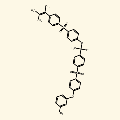 CCC(C)(Oc1ccc(S(=O)(=O)c2ccc(C(C)=C(C)C)cc2)cc1)c1ccc(S(=O)(=O)c2ccc(Oc3cccc(N)c3)cc2)cc1